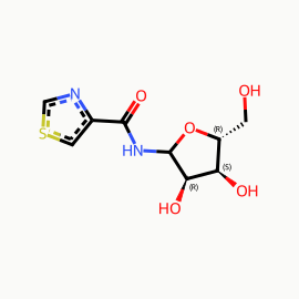 O=C(NC1O[C@H](CO)[C@@H](O)[C@H]1O)c1cscn1